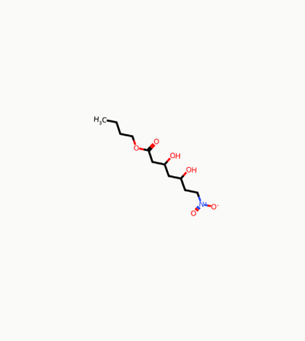 CCCCOC(=O)CC(O)CC(O)CC[N+](=O)[O-]